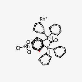 O=C([PH](c1ccccc1)(c1ccccc1)c1ccccc1)[PH](c1ccccc1)(c1ccccc1)c1ccccc1.[Cl][Rh]([Cl])[Cl].[Rh+]